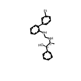 CCc1cccc(-c2ccccc2PCN[C@@H](C)[C@H](O)c2ccccc2)c1